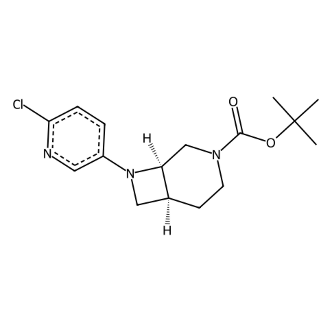 CC(C)(C)OC(=O)N1CC[C@H]2CN(c3ccc(Cl)nc3)[C@H]2C1